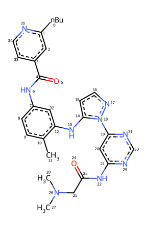 CCCCc1cc(C(=O)Nc2ccc(C)c(Nc3ccnn3-c3cc(NC(=O)CN(C)C)ncn3)c2)ccn1